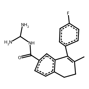 CC1=C(c2ccc(F)cc2)c2cc(C(=O)NC(N)N)ccc2CC1